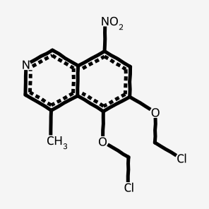 Cc1cncc2c([N+](=O)[O-])cc(OCCl)c(OCCl)c12